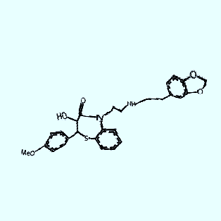 COc1ccc(C2Sc3ccccc3N(CCNCCCc3ccc4c(c3)OCO4)C(=O)C2O)cc1